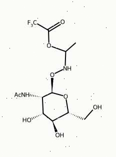 CC(=O)N[C@@H]1[C@@H](ONC(C)OC(=O)C(F)(F)F)O[C@H](CO)[C@@H](O)[C@@H]1O